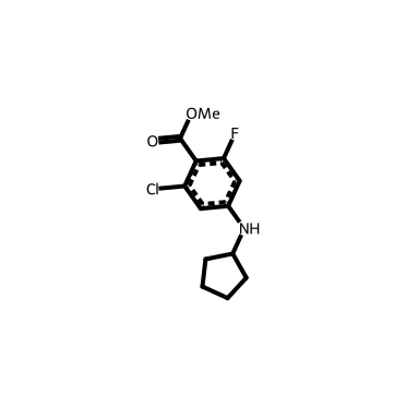 COC(=O)c1c(F)cc(NC2CCCC2)cc1Cl